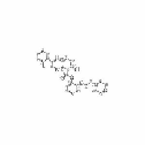 Cc1ccccc1-c1cnc2c(C(=O)Oc3ccccc3OCCN3CCOCC3)c(Cl)ccc2c1